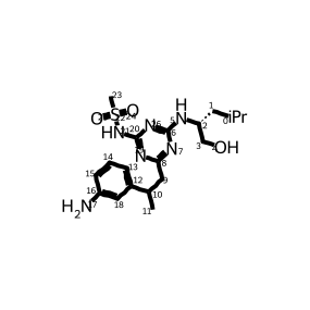 CC(C)C[C@H](CO)Nc1nc(CC(C)c2cccc(N)c2)nc(NS(C)(=O)=O)n1